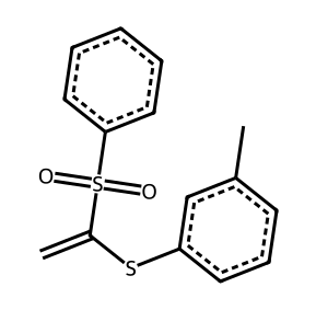 C=C(Sc1cccc(C)c1)S(=O)(=O)c1ccccc1